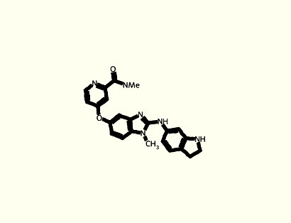 CNC(=O)c1cc(Oc2ccc3c(c2)nc(Nc2ccc4c(c2)NCC4)n3C)ccn1